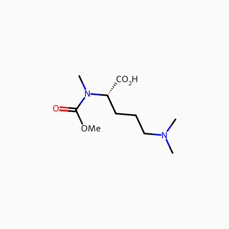 COC(=O)N(C)[C@@H](CCCN(C)C)C(=O)O